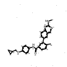 CNc1ncc2cc(-c3cc(C(=O)Nc4ccc(OCC5CC5)cc4)ccc3C)ccc2n1